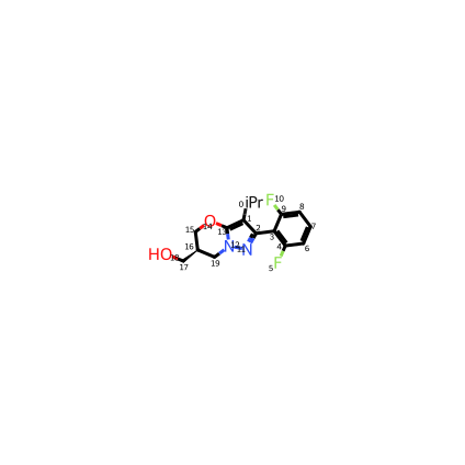 CC(C)c1c(-c2c(F)cccc2F)nn2c1OC[C@H](CO)C2